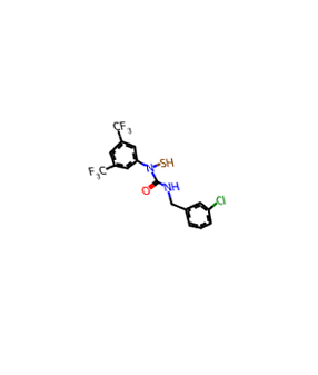 O=C(NCc1cccc(Cl)c1)N(S)c1cc(C(F)(F)F)cc(C(F)(F)F)c1